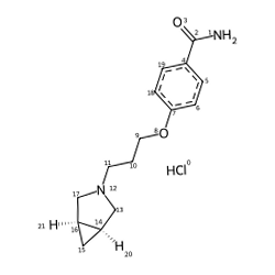 Cl.NC(=O)c1ccc(OCCCN2C[C@H]3C[C@H]3C2)cc1